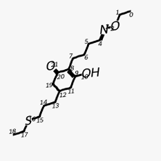 CCON=CCCCC1=C(O)CC(CCCSCC)CC1=O